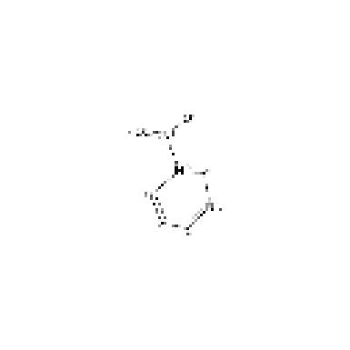 O=[N+]([O-])N1[CH]N=CC=C1